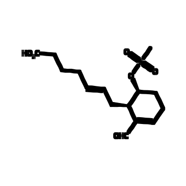 CS(=O)(=O)O[C@H]1CCC=C(C=O)[C@H]1CC=CCCCC(=O)O